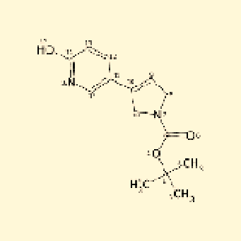 CC(C)(C)OC(=O)N1CC=C(c2ccc(O)nc2)C1